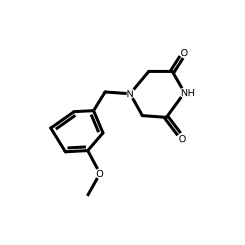 COc1cccc(CN2CC(=O)NC(=O)C2)c1